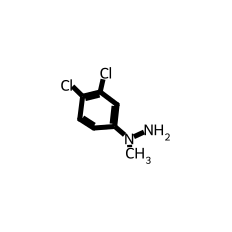 CN(N)c1ccc(Cl)c(Cl)c1